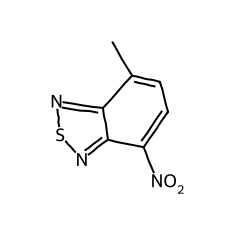 Cc1ccc([N+](=O)[O-])c2nsnc12